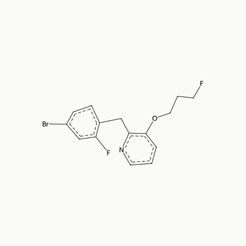 FCCCOc1cccnc1Cc1ccc(Br)cc1F